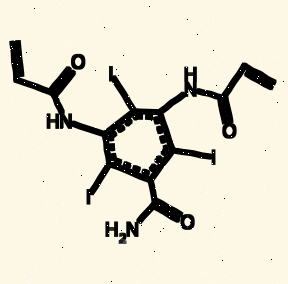 C=CC(=O)Nc1c(I)c(NC(=O)C=C)c(I)c(C(N)=O)c1I